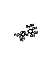 CC(C)(C)NC(=O)O[C@@H]1C[C@H](C(=O)O)[C@@H](O)[C@H](O)[C@H]1O